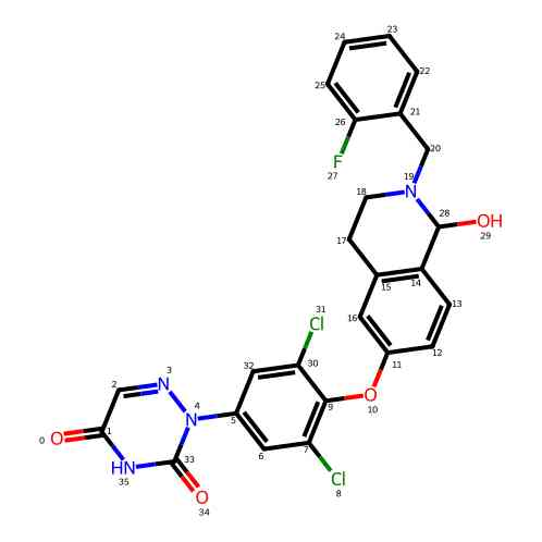 O=c1cnn(-c2cc(Cl)c(Oc3ccc4c(c3)CCN(Cc3ccccc3F)C4O)c(Cl)c2)c(=O)[nH]1